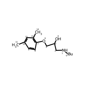 CCC(C)NCC(O)COc1ccc(C)cc1C